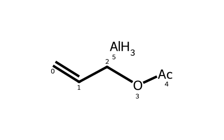 C=CCOC(C)=O.[AlH3]